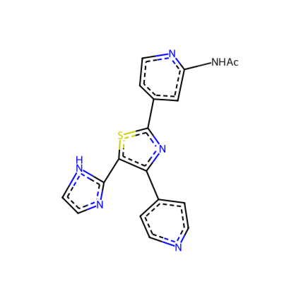 CC(=O)Nc1cc(-c2nc(-c3ccncc3)c(-c3ncc[nH]3)s2)ccn1